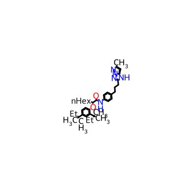 CCCCCCC(Oc1ccc(C(C)(C)CC)cc1C(C)(C)CC)C(=O)Nc1ccc(CCCc2nn3nc(C)cc3[nH]2)cc1